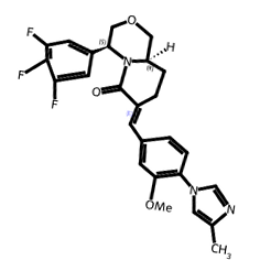 COc1cc(/C=C2\CC[C@@H]3COC[C@H](c4cc(F)c(F)c(F)c4)N3C2=O)ccc1-n1cnc(C)c1